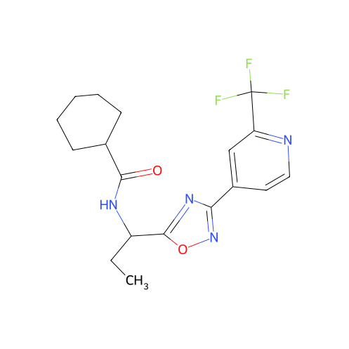 CCC(NC(=O)C1CCCCC1)c1nc(-c2ccnc(C(F)(F)F)c2)no1